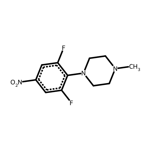 CN1CCN(c2c(F)cc([N+](=O)[O-])cc2F)CC1